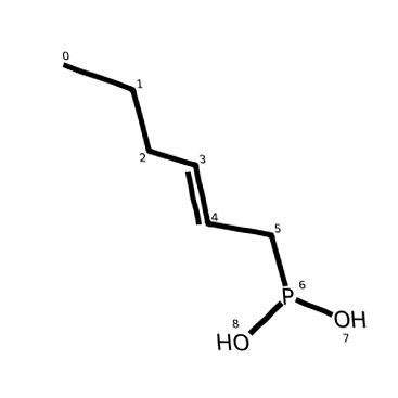 CCCC=CCP(O)O